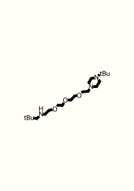 CC(C)(C)CNCCOCCOCCOCCN1CCN(C(C)(C)C)CC1